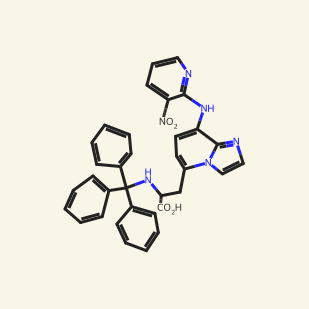 O=C(O)C(Cc1ccc(Nc2ncccc2[N+](=O)[O-])c2nccn12)NC(c1ccccc1)(c1ccccc1)c1ccccc1